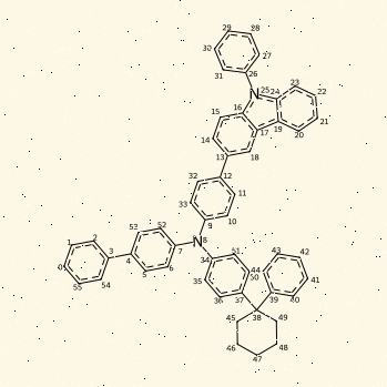 c1ccc(-c2ccc(N(c3ccc(-c4ccc5c(c4)c4ccccc4n5-c4ccccc4)cc3)c3ccc(C4(c5ccccc5)CCCCC4)cc3)cc2)cc1